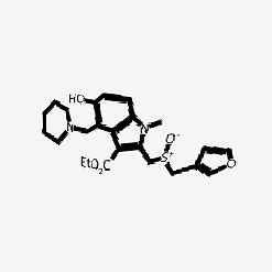 CCOC(=O)c1c(C[S+]([O-])Cc2ccoc2)n(C)c2ccc(O)c(CN3CCCCC3)c12